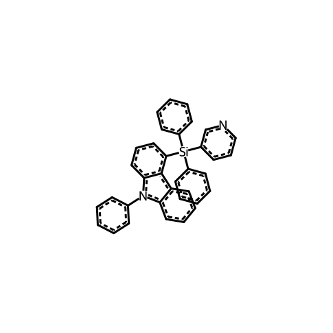 c1ccc(-n2c3ccccc3c3c([Si](c4ccccc4)(c4ccccc4)c4cccnc4)cccc32)cc1